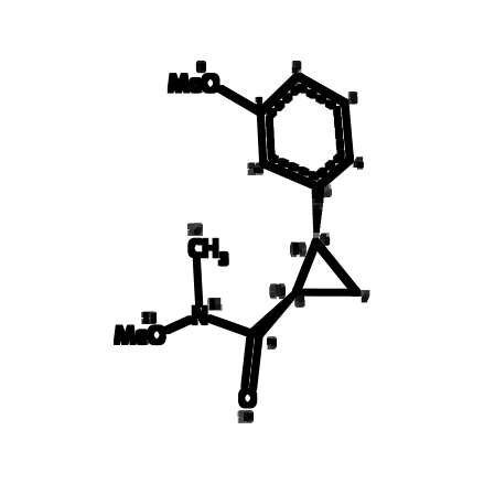 COc1cccc([C@@H]2C[C@H]2C(=O)N(C)OC)c1